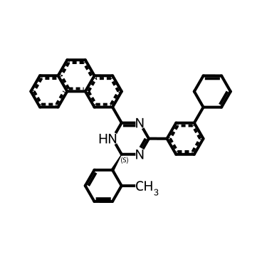 CC1C=CC=CC1[C@@H]1N=C(c2cccc(C3C=CC=CC3)c2)N=C(c2ccc3ccc4ccccc4c3c2)N1